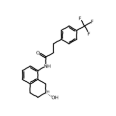 O=C(CCc1ccc(C(F)(F)F)cc1)Nc1cccc2c1C[C@H](O)CC2